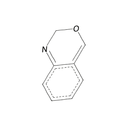 C1=c2ccccc2=NCO1